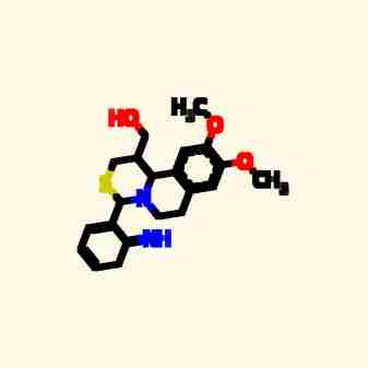 COc1cc2c(cc1OC)C1C(CO)CSC(C3=CC=CCC3=N)N1CC2